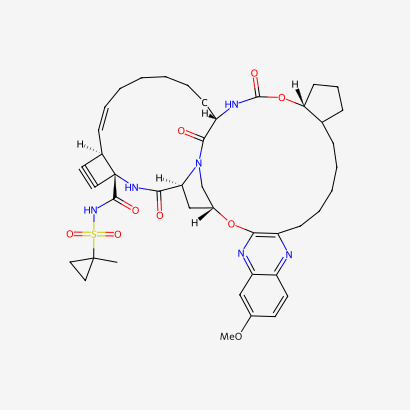 COc1ccc2nc3c(nc2c1)O[C@@H]1C[C@H]2C(=O)N[C@]4(C(=O)NS(=O)(=O)C5(C)CC5)C#C[C@H]4/C=C\CCCCC[C@H](NC(=O)O[C@@H]4CCCC4CCCCC3)C(=O)N2C1